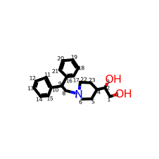 OCC(O)C1CCN(CC(c2ccccc2)c2ccccc2)CC1